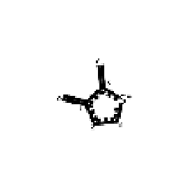 C=c1ccsc1=C